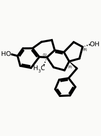 C[C@@]12CC[C@@]3(Cc4ccccc4)C[C@@H](O)CC3=C1CCc1cc(O)ccc12